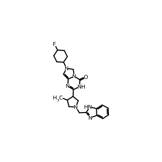 CC1CN(Cc2nc3ccccc3[nH]2)CC1C1=NC2=CN(C3CCC(F)CC3)CN2C(=O)N1